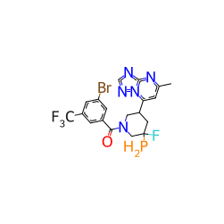 Cc1cc(C2CN(C(=O)c3cc(Br)cc(C(F)(F)F)c3)CC(F)(P)C2)n2ncnc2n1